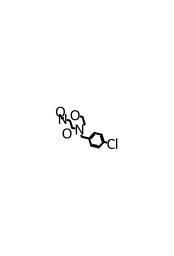 O=NC1OCCN(Cc2ccc(Cl)cc2)C1=O